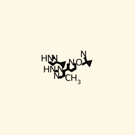 Cc1cnc(Nc2c[nH]nc2C2CC2)nc1-c1ccc(OCC2(C#N)CC2)nc1